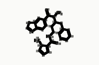 CN(C(=O)c1ccc2ncsc2c1)C(CCNC(=O)c1cccn1C)Cc1ccccc1